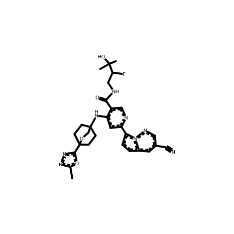 Cc1nnc(C23CCC(Nc4cc(-c5ccc6cc(C#N)cnn56)ncc4C(=O)NCC(F)C(C)(C)O)(CC2)CO3)o1